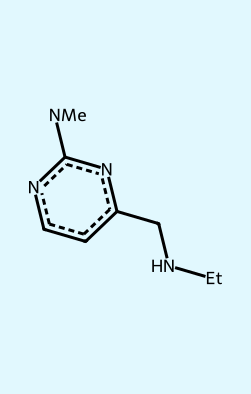 CCNCc1ccnc(NC)n1